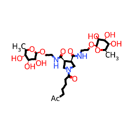 CC(=O)CCCCC(=O)N1C[C@H](C(=O)NCCO[C@@H]2O[C@@H](C)[C@@H](O)[C@@H](O)[C@@H]2O)[C@H](C(=O)NCCO[C@@H]2O[C@@H](C)[C@@H](O)[C@@H](O)[C@@H]2O)C1